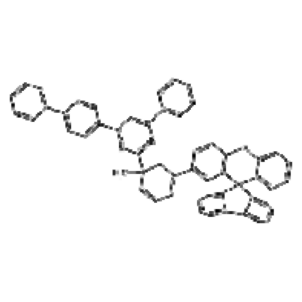 CC1(c2nc(-c3ccccc3)cc(-c3ccc(-c4ccccc4)cc3)n2)C=CC=C(c2ccc3c(c2)C2(c4ccccc4O3)c3ccccc3-c3ccccc32)C1